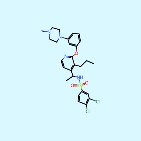 CCCc1c(C(C)NS(=O)(=O)c2ccc(Cl)c(Cl)c2)ccnc1Oc1cccc(N2CCN(C)CC2)c1